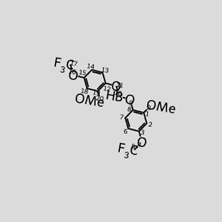 COc1cc(OC(F)(F)F)ccc1OBOc1ccc(OC(F)(F)F)cc1OC